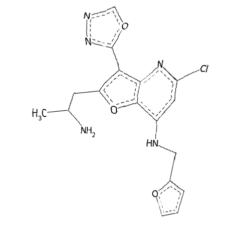 CC(N)Cc1oc2c(NCc3ccco3)cc(Cl)nc2c1-c1nnco1